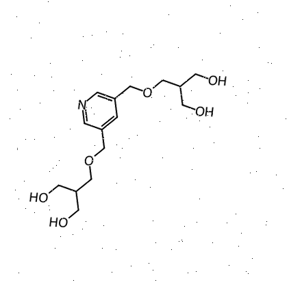 OCC(CO)COCc1cncc(COCC(CO)CO)c1